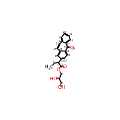 CCC(C(=O)OCC(O)CO)c1ccc2c(=O)c3ccccc3ccc2c1